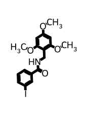 COc1cc(OC)c(CNC(=O)c2cccc(I)c2)c(OC)c1